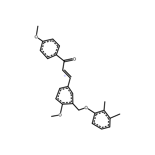 COc1ccc(C(=O)/C=C/c2ccc(OC)c(COc3cccc(C)c3C)c2)cc1